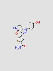 NC(=O)c1cc(-c2nn([C@H]3CC[C@H](O)CC3)c3cc[nH]c(=O)c23)cs1